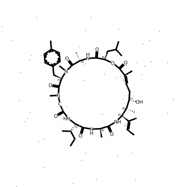 C/C=C(\C)[C@H]1NC(=O)[C@@H](C)NC(=O)[C@H](C(C)CC)NC(=O)CN(C)C(=O)[C@@H](Cc2ccc(C)cc2)N(C)C(=O)[C@H](C)NC(=O)[C@@H](CC(C)C)OC(=O)/C(C)=C/C[C@H](O)[C@@H]1C